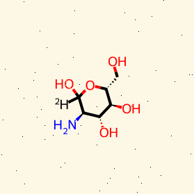 [2H]C1(O)O[C@H](CO)[C@@H](O)[C@H](O)[C@H]1N